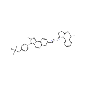 CC(C)c1ccccc1N1C(=O)CS/C1=N\N=C\c1ccc2c(ccc3c(-c4ccc(OC(F)(F)F)cc4)n(C)nc32)n1